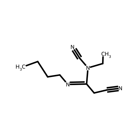 CCCCN=C(CC#N)N(C#N)CC